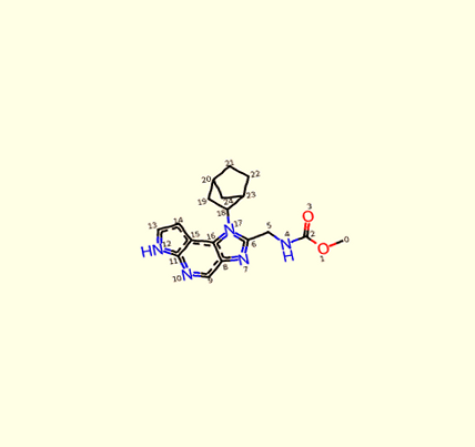 COC(=O)NCc1nc2cnc3[nH]ccc3c2n1C1CC2CCC1C2